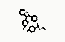 CCOC(=O)[C@@H]1CCC(=O)[C@H](n2nc(-c3c(-c4ccccc4)nn4ccccc34)ccc2=O)C1